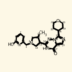 CC1CN(Cc2cccc(O)n2)CC1c1nn2c(C3CCOCC3)ncc2c(=O)[nH]1